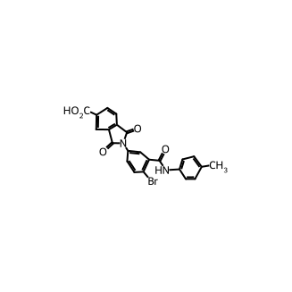 Cc1ccc(NC(=O)c2cc(N3C(=O)c4ccc(C(=O)O)cc4C3=O)ccc2Br)cc1